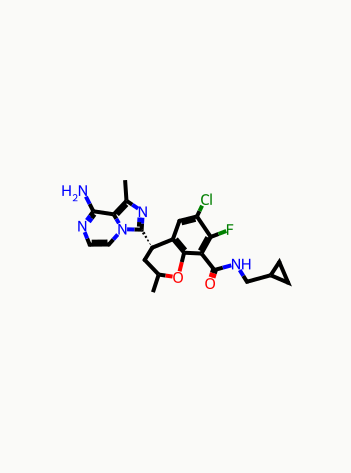 Cc1nc([C@H]2CC(C)Oc3c2cc(Cl)c(F)c3C(=O)NCC2CC2)n2ccnc(N)c12